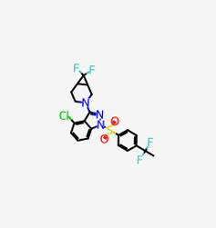 CC(F)(F)c1ccc(S(=O)(=O)n2nc(N3CCC4C(C3)C4(F)F)c3c(Cl)cccc32)cc1